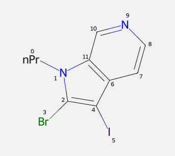 CCCn1c(Br)c(I)c2ccncc21